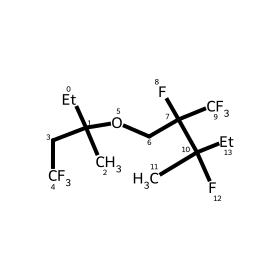 CCC(C)(CC(F)(F)F)OCC(F)(C(F)(F)F)C(C)(F)CC